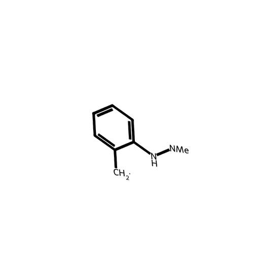 [CH2]c1ccccc1NNC